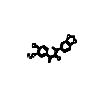 CN(C(=O)N(C)c1ccc(Cl)c(C(F)(F)F)c1)c1ccc2c(c1)OCO2